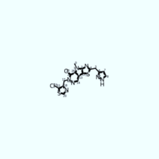 Cn1c2nc(Cc3cc[nH]n3)sc2c2cnn(Cc3ncsc3Cl)c(=O)c21